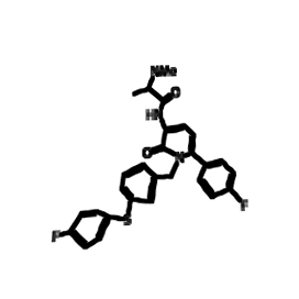 CNC(C)C(=O)Nc1ccc(-c2ccc(F)cc2)n(Cc2cccc(Sc3ccc(F)cc3)c2)c1=O